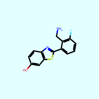 NCc1c(F)cccc1-c1nc2ccc(O)cc2s1